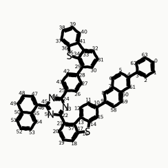 c1ccc(-c2ccc3cc(-c4ccc5c(c4)sc4cccc(-c6nc(-c7ccc(-c8cccc9c8sc8ccccc89)cc7)nc(-c7cccc8ccccc78)n6)c45)ccc3c2)cc1